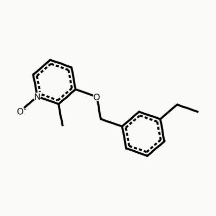 CCc1cccc(COc2ccc[n+]([O-])c2C)c1